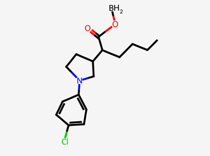 BOC(=O)C(CCCC)C1CCN(c2ccc(Cl)cc2)C1